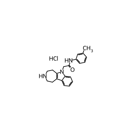 Cc1cccc(NC(=O)Cn2c3c(c4ccccc42)CCNCC3)c1.Cl